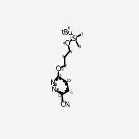 CC(C)(C)[Si](C)(C)OCCCOc1ccc(C#N)nn1